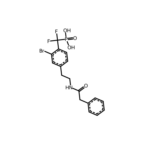 O=C(Cc1ccccc1)NCCc1ccc(C(F)(F)P(=O)(O)O)c(Br)c1